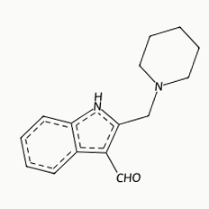 O=Cc1c(CN2CCCCC2)[nH]c2ccccc12